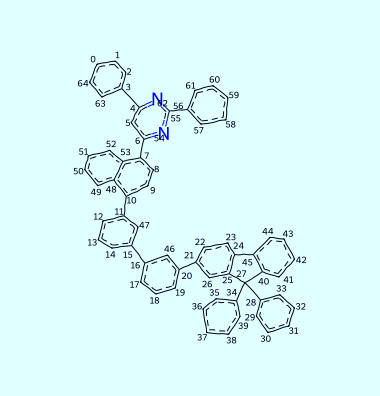 c1ccc(-c2cc(-c3ccc(-c4cccc(-c5cccc(-c6ccc7c(c6)C(c6ccccc6)(c6ccccc6)c6ccccc6-7)c5)c4)c4ccccc34)nc(-c3ccccc3)n2)cc1